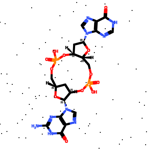 Nc1nc2c(ncn2[C@@H]2O[C@@H]3COP(=O)(O)O[C@H]4C[C@H](n5cnc6c(=O)[nH]cnc65)O[C@@H]4COP(=O)(O)O[C@@H]2C3)c(=O)[nH]1